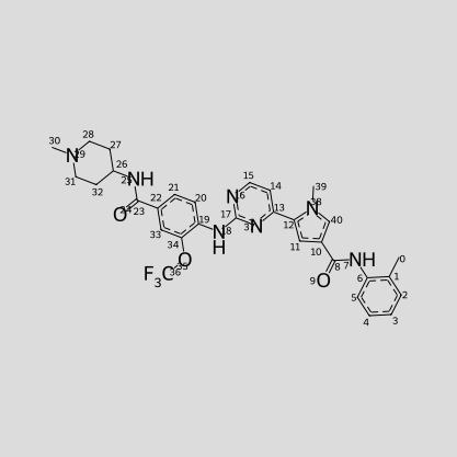 Cc1ccccc1NC(=O)c1cc(-c2ccnc(Nc3ccc(C(=O)NC4CCN(C)CC4)cc3OC(F)(F)F)n2)n(C)c1